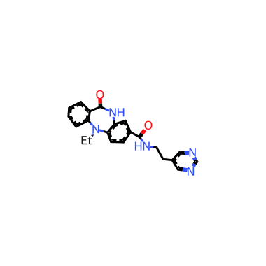 CCN1c2ccc(C(=O)NCCc3cncnc3)cc2NC(=O)c2ccccc21